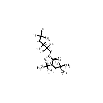 CC(C)(C)CC(C(=O)OCC(F)(F)C(F)(F)CC(F)(F)F)C(C)(C)C